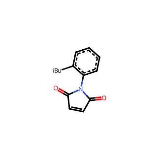 CCC(C)c1ccccc1N1C(=O)C=CC1=O